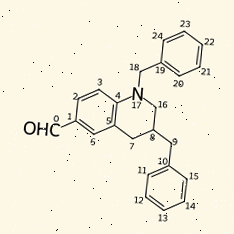 O=Cc1ccc2c(c1)CC(Cc1ccccc1)CN2Cc1ccccc1